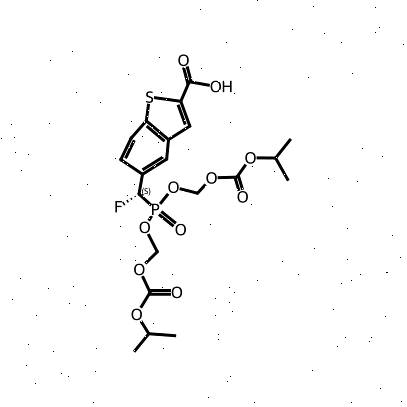 CC(C)OC(=O)OCOP(=O)(OCOC(=O)OC(C)C)[C@H](F)c1ccc2sc(C(=O)O)cc2c1